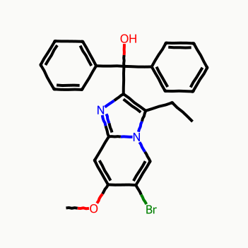 CCc1c(C(O)(c2ccccc2)c2ccccc2)nc2cc(OC)c(Br)cn12